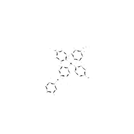 CC(C)(c1ccc(O)cc1)c1ccc(C(c2ccc(O)cc2)(c2ccc(O)cc2)c2ccc(O)cc2)cc1